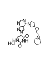 Cl.O=c1[nH]cc(-n2cc3c(N4CCC(OCCN5CCCCC5)C4)ncnc3n2)c(=O)[nH]1